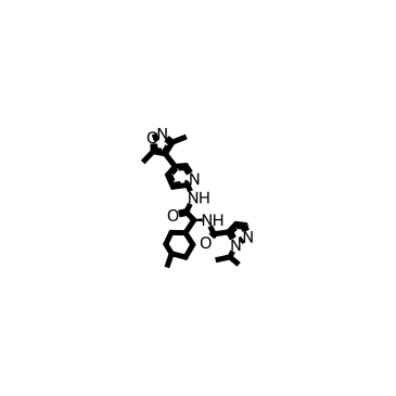 Cc1noc(C)c1-c1ccc(NC(=O)[C@@H](NC(=O)c2ccnn2C(C)C)C2CCC(C)CC2)nc1